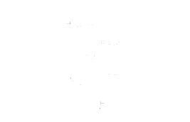 C=CC(=O)OC(F)C(C)O